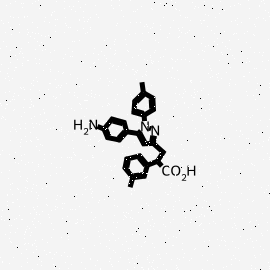 Cc1ccc(-n2nc(CC(C(=O)O)c3cccc(C)c3)cc2-c2ccc(N)cc2)cc1